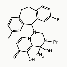 CC(C)N1CN(C2c3cc(F)ccc3CCc3ccc(F)cc32)n2ccc(=O)c(O)c2C1(C)O